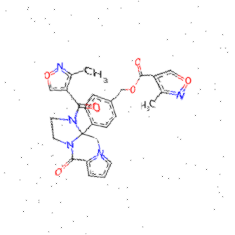 Cc1nocc1C(=O)OCc1ccc(C23Cn4cccc4C(=O)N2CCN3C(=O)c2conc2C)cc1